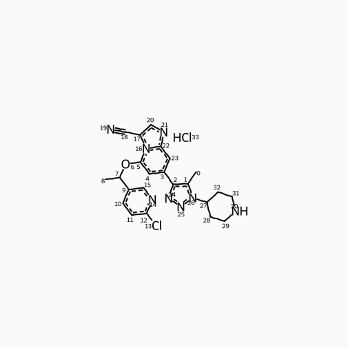 Cc1c(-c2cc(OC(C)c3ccc(Cl)nc3)n3c(C#N)cnc3c2)nnn1C1CCNCC1.Cl